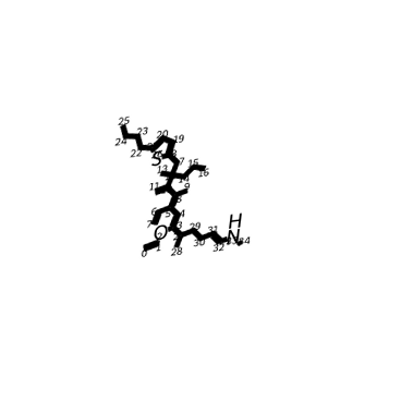 C=CO/C(=C\C(C=C)=C(/C)C(=C)C(C)(CCC)Cc1ccc(CCCC)s1)C(C)CC/C=C/NC